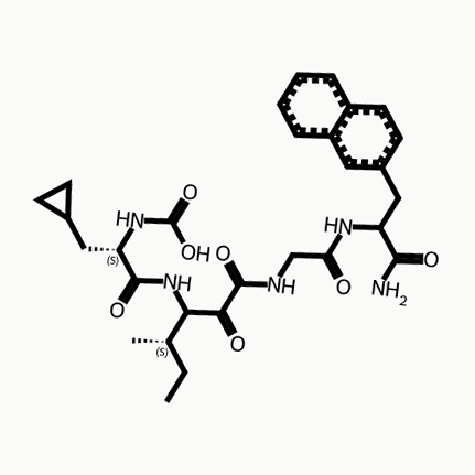 CC[C@H](C)C(NC(=O)[C@H](CC1CC1)NC(=O)O)C(=O)C(=O)NCC(=O)NC(Cc1ccc2ccccc2c1)C(N)=O